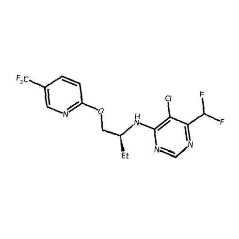 CC[C@@H](COc1ccc(C(F)(F)F)cn1)Nc1ncnc(C(F)F)c1Cl